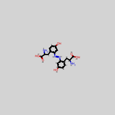 NC(Cc1ccc(O)cc1N=Nc1cc(O)ccc1CC(N)C(=O)O)C(=O)O